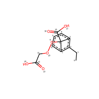 CCc1c2cccc1C2(OOCC(=O)O)C(=O)O